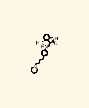 Cc1cccc2c1/C(=C\Nc1ccc(CCCCN3CCCCC3)cc1)C(=O)N2